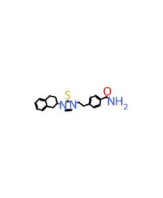 NC(=O)c1ccc(CCn2ccn(C3CCc4ccccc4C3)c2=S)cc1